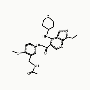 CCn1ncc2c(NC3CCOCC3)c(C(=O)Nc3ccc(OC)c(CNC(C)=O)c3)cnc21